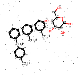 O=C(O)c1ccccc1.O=C(O)c1ccccc1.O=C(O)c1ccccc1.O=C(O)c1ccccc1.OC[C@H]1OC(O)[C@H](O)[C@@H](O)[C@@H]1O